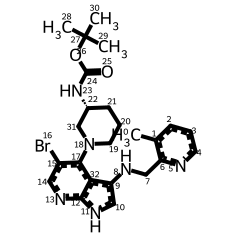 Cc1cccnc1CNc1c[nH]c2ncc(Br)c(N3CCC[C@@H](NC(=O)OC(C)(C)C)C3)c12